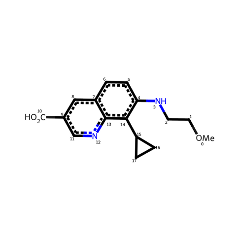 COCCNc1ccc2cc(C(=O)O)cnc2c1C1CC1